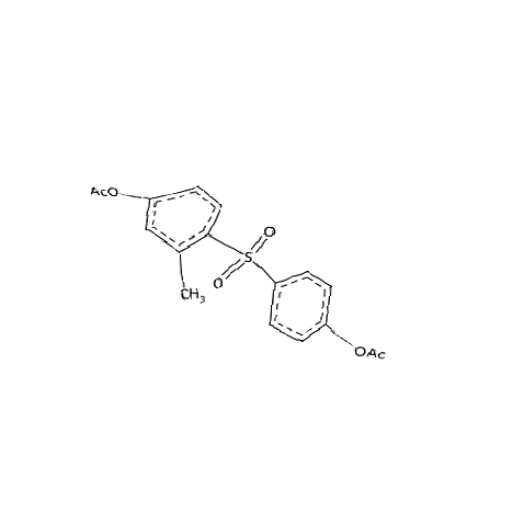 CC(=O)Oc1ccc(S(=O)(=O)c2ccc(OC(C)=O)cc2C)cc1